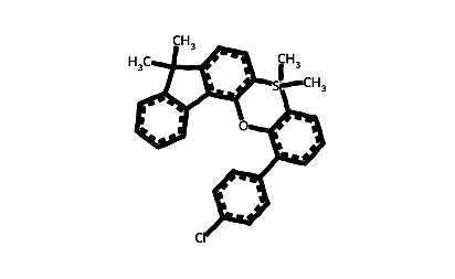 CC1(C)c2ccccc2-c2c1ccc1c2Oc2c(-c3ccc(Cl)cc3)cccc2[Si]1(C)C